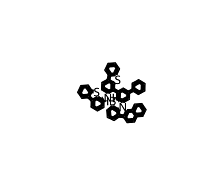 B1c2c(-c3c(Nc4cccc5c4sc4ccccc45)ccc4c3sc3ccccc34)cc(-c3ccccc3)cc2-n2c3c1cccc3c1ccc3ccccc3c12